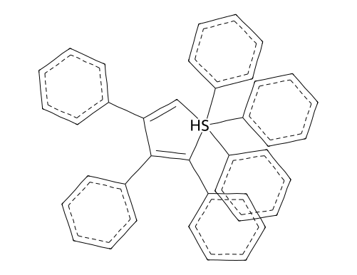 C1=C(c2ccccc2)C(c2ccccc2)=C(c2ccccc2)[SH]1(c1ccccc1)(c1ccccc1)c1ccccc1